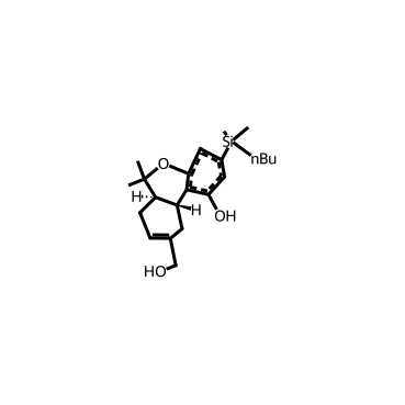 CCCC[Si](C)(C)c1cc(O)c2c(c1)OC(C)(C)[C@@H]1CC=C(CO)C[C@@H]21